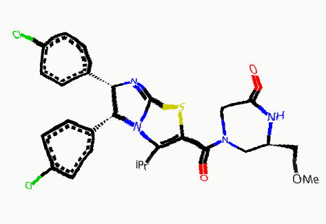 COC[C@H]1CN(C(=O)C2=C(C(C)C)N3C(=N[C@@H](c4ccc(Cl)cc4)[C@H]3c3ccc(Cl)cc3)S2)CC(=O)N1